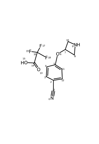 N#Cc1ccc(OC2CNC2)cc1.O=C(O)C(F)(F)F